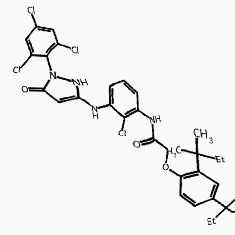 CCC(C)(C)c1ccc(OCC(=O)Nc2cccc(Nc3cc(=O)n(-c4c(Cl)cc(Cl)cc4Cl)[nH]3)c2Cl)c(C(C)(C)CC)c1